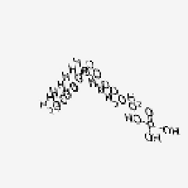 O.O.O.O.O.O.O.O.O.O.O.O.O=P(O)(O)O